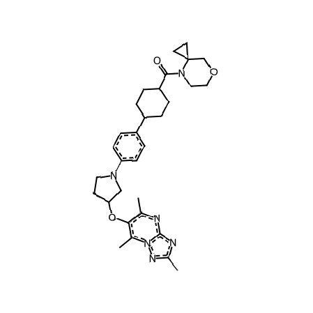 Cc1nc2nc(C)c(OC3CCN(c4ccc(C5CCC(C(=O)N6CCOCC67CC7)CC5)cc4)C3)c(C)n2n1